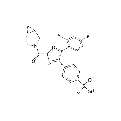 NS(=O)(=O)c1ccc(-c2sc(C(=O)N3CC4CC4C3)nc2-c2ccc(F)cc2F)cc1